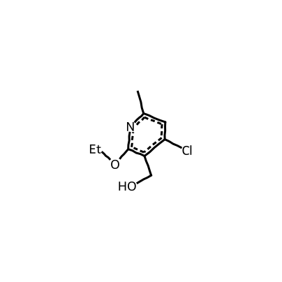 CCOc1nc(C)cc(Cl)c1CO